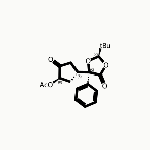 CC(=O)O[C@@H]1C[C@@H]([C@@]2(c3ccccc3)O[C@@H](C(C)(C)C)OC2=O)CC1=O